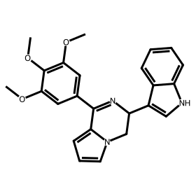 COc1cc(C2=NC(c3c[nH]c4ccccc34)Cn3cccc32)cc(OC)c1OC